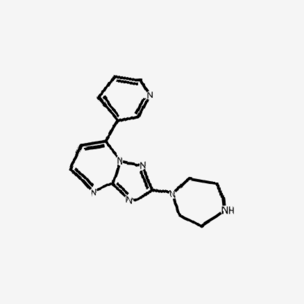 c1cncc(-c2ccnc3nc(N4CCNCC4)nn23)c1